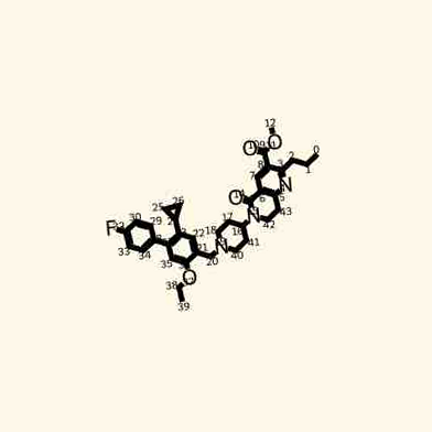 CCCc1nc2c(cc1C(=O)OC)C(=O)N(C1CCN(Cc3cc(C4CC4)c(-c4ccc(F)cc4)cc3OCC)CC1)CC2